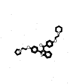 O=C(c1ccc(OCCN2CCCCC2)cc1)c1c(-c2ccc(OCCN3CCCC3)cc2)sc2ccccc12